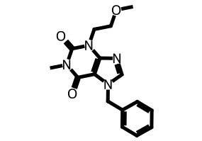 COCCn1c(=O)n(C)c(=O)c2c1ncn2Cc1ccccc1